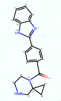 O=C(c1ccc(-c2nc3ccccc3[nH]2)cc1)N1CCNCC12CC2